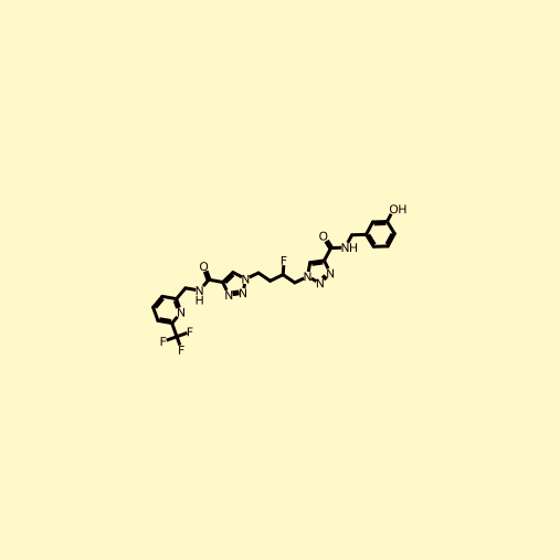 O=C(NCc1cccc(C(F)(F)F)n1)c1cn(CCC(F)Cn2cc(C(=O)NCc3cccc(O)c3)nn2)nn1